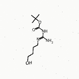 CC(C)(C)OC(=O)NC(N)=NCCCCO